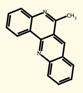 Cc1nc2ccccc2c2nc3ccccc3cc12